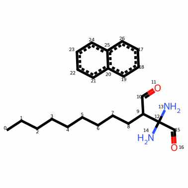 CCCCCCCCCC(C=O)C(N)(N)C=O.c1ccc2ccccc2c1